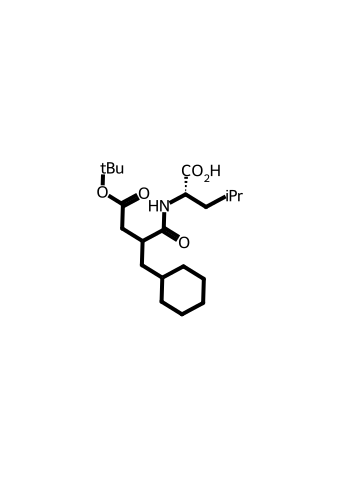 CC(C)C[C@H](NC(=O)C(CC(=O)OC(C)(C)C)CC1CCCCC1)C(=O)O